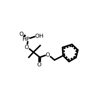 CC(C)(O[PH](=O)O)C(=O)OCc1ccccc1